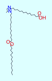 CCCCCCCCCCCCCCOC(=O)CCCCCCCCCCCCCN1C(CCCCCCCCCCCCC(=O)O)=NCC1C